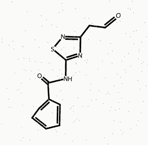 O=CCc1nsc(NC(=O)c2ccccc2)n1